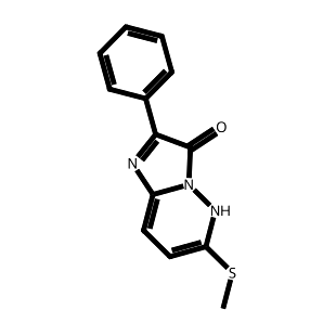 CSc1ccc2nc(-c3ccccc3)c(=O)n-2[nH]1